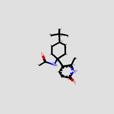 CC(=O)NC1(c2ccc(=O)[nH]c2C)CCC(C(C)(C)C)CC1